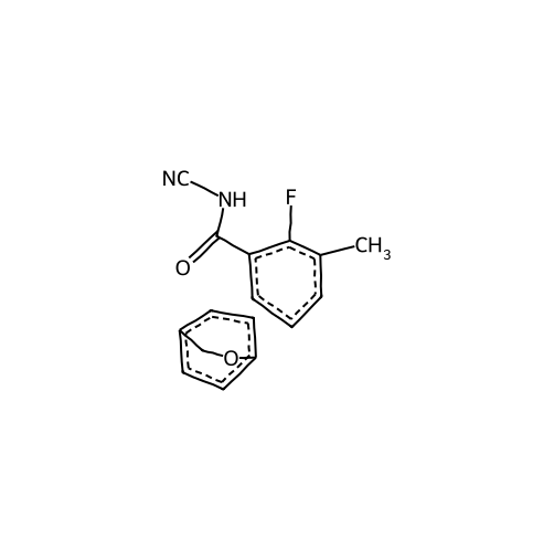 Cc1cccc(C(=O)NC#N)c1F.c1cc2ccc1CO2